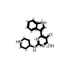 Cl.Clc1cnc(NC2CCNCC2)nc1-c1c[nH]c2ccccc12